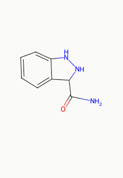 NC(=O)C1NNc2ccccc21